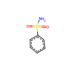 NS(=O)(=O)c1cc[c]cc1